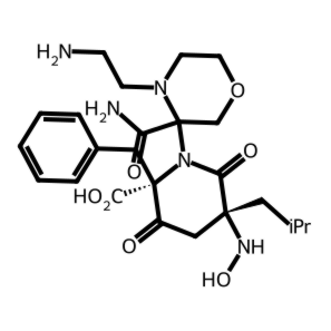 CC(C)C[C@@]1(NO)CC(=O)[C@](Cc2ccccc2)(C(=O)O)N(C2(C(N)=O)COCCN2CCN)C1=O